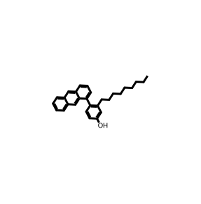 CCCCCCCCCc1cc(O)ccc1-c1cccc2cc3ccccc3cc12